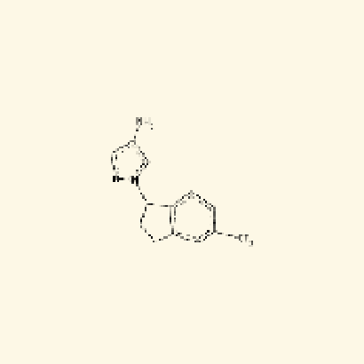 Nc1cnn(C2CCc3cc(C(F)(F)F)ccc32)c1